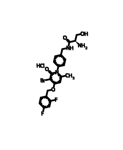 Cc1cc(OCc2ccc(F)cc2F)c(Br)c(=O)n1-c1ccc(CNC(=O)[C@@H](N)CO)cc1.Cl